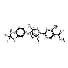 NC(=O)c1cnc(N2C[C@@H]3C[C@H]2CN3c2ccc3c(c2)OC(F)(F)O3)nc1O